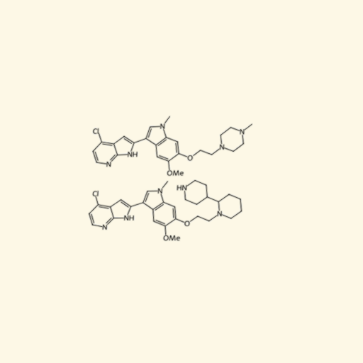 COc1cc2c(-c3cc4c(Cl)ccnc4[nH]3)cn(C)c2cc1OCCN1CCCCC1C1CCNCC1.COc1cc2c(-c3cc4c(Cl)ccnc4[nH]3)cn(C)c2cc1OCCN1CCN(C)CC1